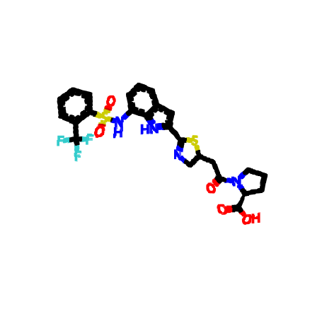 O=C(O)[C@@H]1CCCN1C(=O)CC1CN=C(c2cc3cccc(NS(=O)(=O)c4ccccc4C(F)(F)F)c3[nH]2)S1